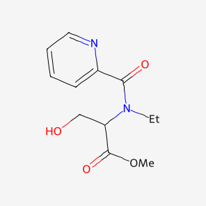 CCN(C(=O)c1ccccn1)C(CO)C(=O)OC